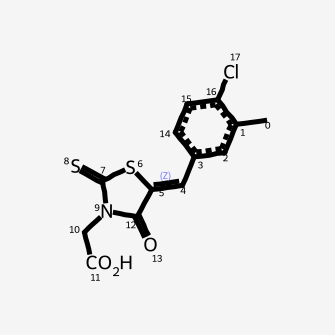 Cc1cc(/C=C2\SC(=S)N(CC(=O)O)C2=O)ccc1Cl